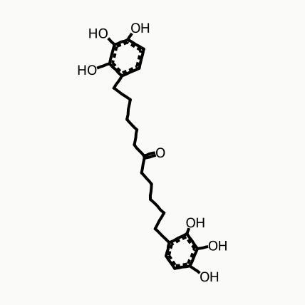 O=C(CCCCCc1ccc(O)c(O)c1O)CCCCCc1ccc(O)c(O)c1O